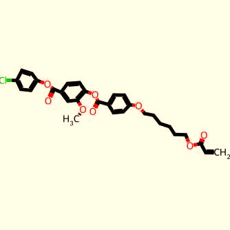 C=CC(=O)OCCCCCCOc1ccc(C(=O)Oc2ccc(C(=O)Oc3ccc(Cl)cc3)cc2OC)cc1